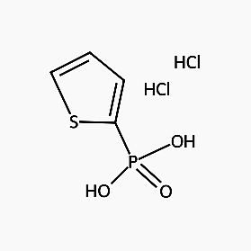 Cl.Cl.O=P(O)(O)c1cccs1